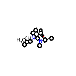 CC1(C)c2ccccc2-c2ccc(-n3c4cc(N(c5ccccc5)c5ccc(-c6ccccc6)cc5)cc5c4c4c6c(cccc6ccc43)C53c4ccccc4-c4ccccc43)cc21